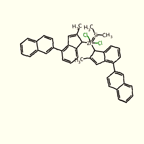 CC1=Cc2c(-c3ccc4ccccc4c3)cccc2[CH]1[Zr]([Cl])([Cl])([CH]1C(C)=Cc2c(-c3ccc4ccccc4c3)cccc21)=[Si](C)C